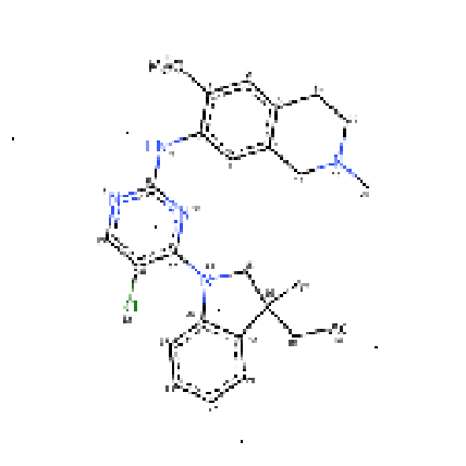 COc1cc2c(cc1Nc1ncc(Cl)c(N3CC(C)(CC(C)=O)c4ccccc43)n1)CN(C)CC2